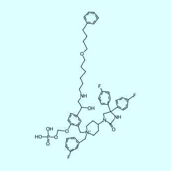 O=C1NC(c2ccc(F)cc2)(c2ccc(F)cc2)CN1C1CC[N+](Cc2cccc(F)c2)(Cc2cc(C(O)CNCCCCCCOCCCCc3ccccc3)ccc2OCOP(=O)(O)O)CC1